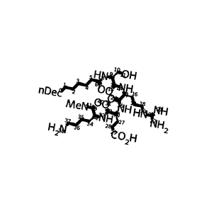 CCCCCCCCCCCCCCCC(=O)N[C@@H](CO)C(=O)N[C@@H](CCCNC(=N)N)C(=O)N[C@@H](CCC(=O)O)C(=O)N[C@@H](CCCCN)C(=O)NC